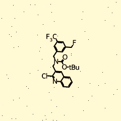 CC(C)(C)OC(=O)N(Cc1cc(CF)cc(C(F)(F)F)c1)Cc1cc2ccccc2nc1Cl